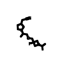 CC(C)N1CC(F)(COCC(C)N2CCC(CC#N)C2)C1